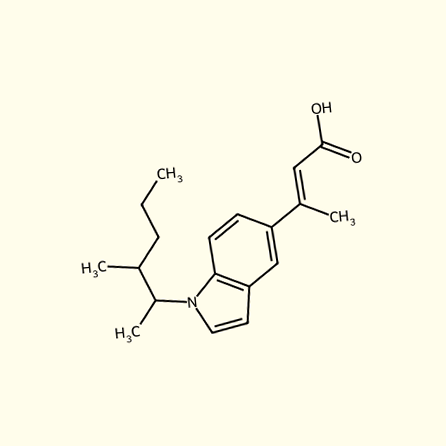 CCCC(C)C(C)n1ccc2cc(C(C)=CC(=O)O)ccc21